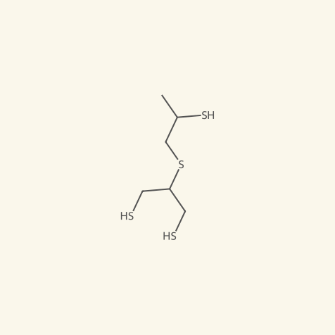 CC(S)CSC(CS)CS